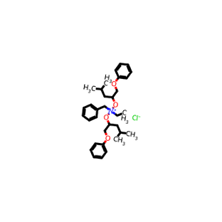 CC[N+](Cc1ccccc1)(OC(COc1ccccc1)CC(C)C)OC(COc1ccccc1)CC(C)C.[Cl-]